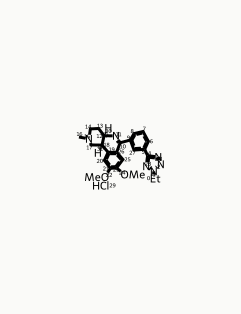 CCn1nnc(-c2cccc(C3=N[C@@H]4CCN(C)C[C@@H]4c4cc(OC)c(OC)cc43)c2)n1.Cl